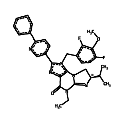 CCN1C(=O)c2nc(-c3ccc(-c4ccccc4)nc3)n(Cc3ccc(F)c(OC)c3F)c2N2C[C@@H](C(C)C)N=C12